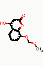 COCOc1cccc2c(O)cc(=O)oc12